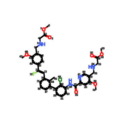 COC(=O)CNCc1ccc(/C(F)=C/c2cccc(-c3cccc(NC(=O)c4cc(OC)c(CNCC(=O)OC)cn4)c3Cl)c2C)cc1OC